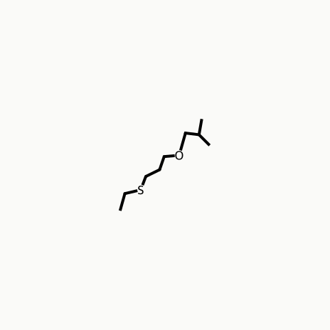 CCSCCCOCC(C)C